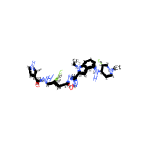 CCN1CC[C@@H](Nc2cccc3c2cc(-c2noc(CC(F)CNC(=O)c4cc[nH]c4)n2)n3CC(F)(F)F)[C@@H](F)C1